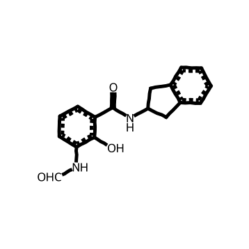 O=CNc1cccc(C(=O)NC2Cc3ccccc3C2)c1O